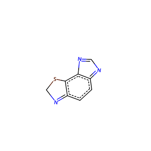 C1=Nc2c3c(ccc2=N1)=NCS3